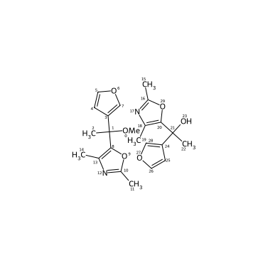 COC(C)(c1ccoc1)c1oc(C)nc1C.Cc1nc(C)c(C(C)(O)c2ccoc2)o1